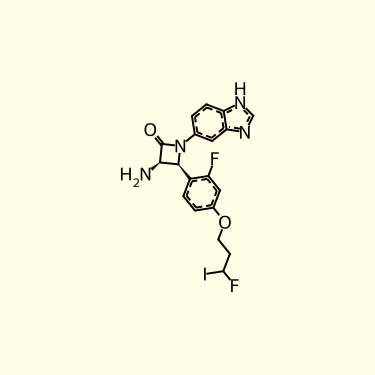 N[C@H]1C(=O)N(c2ccc3[nH]cnc3c2)[C@H]1c1ccc(OCCC(F)I)cc1F